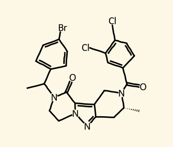 CC(c1ccc(Br)cc1)N1CCn2nc3c(c2C1=O)CN(C(=O)c1ccc(Cl)c(Cl)c1)[C@H](C)C3